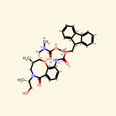 C[C@@H]1CN([C@@H](C)CO)C(=O)c2cccc(NC(=O)OCC3c4ccccc4-c4ccccc43)c2O[C@H]1CN(C)C(=O)OC(C)(C)C